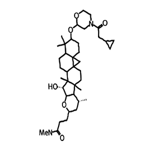 CNC(=O)CCC1C[C@@H](C)C2C(O1)[C@H](O)C1(C)C3CCC4C(C)(C)C(OC5CN(C(=O)CC6CC6)CCO5)CCC45CC35CCC21C